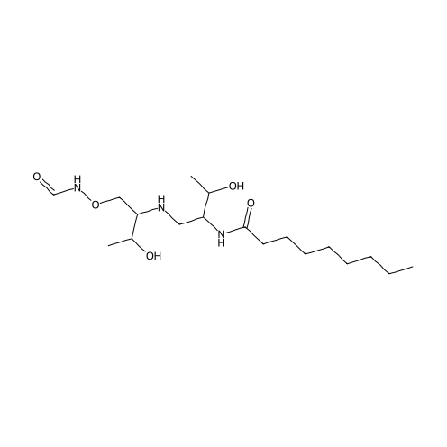 CCCCCCCCC(=O)NC(CNC(CONC=O)C(C)O)C(C)O